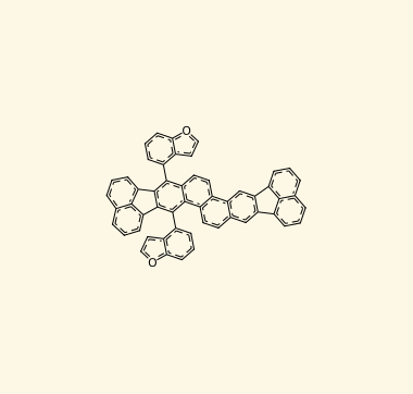 c1cc2c3c(cccc3c1)-c1cc3c(ccc4c3ccc3c(-c5cccc6occc56)c5c(c(-c6cccc7occc67)c34)-c3cccc4cccc-5c34)cc1-2